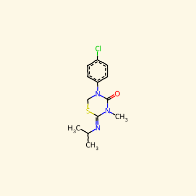 CC(C)N=C1SCN(c2ccc(Cl)cc2)C(=O)N1C